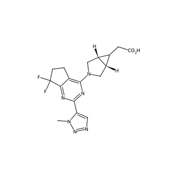 Cn1nncc1-c1nc(N2C[C@@H]3C(CC(=O)O)[C@@H]3C2)c2c(n1)C(F)(F)CC2